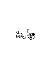 Cc1ncc(Cl)cc1C(=O)NC1CCC(CN2C(=O)C(O)(c3ccccc3F)c3cc(F)ccc32)CC1